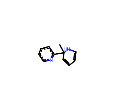 CC1(c2ccccn2)C=CC=CN1